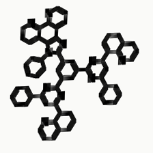 c1ccc(-c2cc(-c3cccc4cccnc34)nc(-c3cc(-c4nc(-c5ccccc5)cc(-c5cccc6cccnc56)n4)cc(-c4nc5c6cccnc6c6ncccc6c5n4-c4ccccc4)c3)n2)cc1